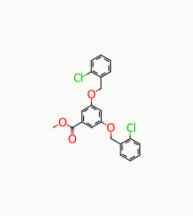 COC(=O)c1cc(OCc2ccccc2Cl)cc(OCc2ccccc2Cl)c1